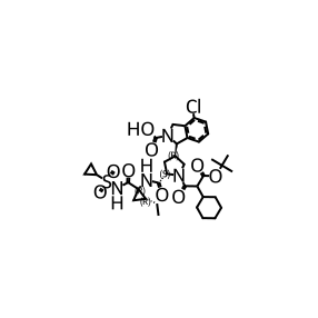 CC[C@@H]1C[C@]1(NC(=O)[C@@H]1C[C@@H](C2c3cccc(Cl)c3CN2C(=O)O)CN1C(=O)C(C(=O)OC(C)(C)C)C1CCCCC1)C(=O)NS(=O)(=O)C1CC1